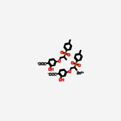 Cc1ccc(S(=O)(=O)C(C)COc2ccc(C(=O)[O-])c(O)c2)cc1.Cc1ccc(S(=O)(=O)C(C)COc2ccc(C(=O)[O-])c(O)c2)cc1.[Zn+2]